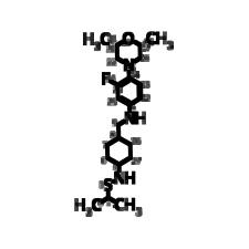 CC(C)SNC1CCC(CNc2ccc(N3C[C@@H](C)O[C@@H](C)C3)c(F)c2)CC1